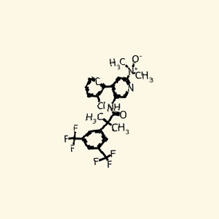 CC(C)(C(=O)Nc1cnc([N+](C)(C)[O-])cc1-c1ccccc1Cl)c1cc(C(F)(F)F)cc(C(F)(F)F)c1